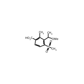 COC(C)c1c(S(C)(=O)=O)ccc(C(=O)O)c1C